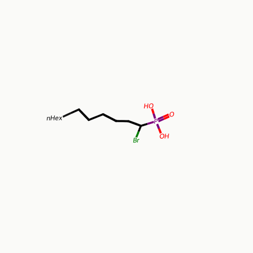 CCCCCCCCCCCC(Br)P(=O)(O)O